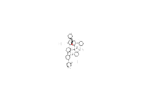 Cc1cnccc1-c1ccc2c3ccc(-c4ccncc4C)cc3n(-c3cccc(C=O)c3C(=O)N(C)c3ccc(-c4ccccc4)cc3-c3ccccc3)c2c1